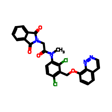 CN(C(=O)CN1C(=O)c2ccccc2C1=O)c1ccc(Cl)c(COc2cccc3ccnnc23)c1Cl